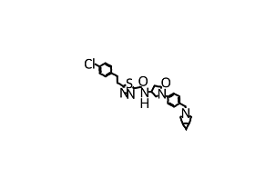 O=C(NC1CC(=O)N(c2ccc(CN3CC4CC4C3)cc2)C1)c1nnc(CCc2ccc(Cl)cc2)s1